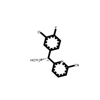 Cl.N#Cc1cccc([C@H](N)c2ccc(F)c(Cl)c2)n1